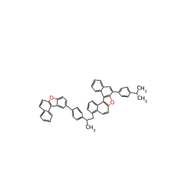 CC(C)c1ccc(-c2cc3ccccc3c3c2oc2ccc4c(CC(C)c5ccc(-c6ccc7oc8ccc9ccccc9c8c7c6)cc5)cccc4c23)cc1